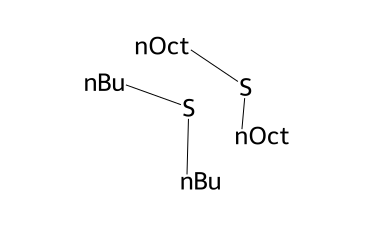 CCCCCCCCSCCCCCCCC.CCCCSCCCC